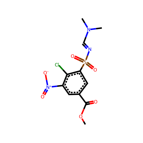 COC(=O)c1cc([N+](=O)[O-])c(Cl)c(S(=O)(=O)N=CN(C)C)c1